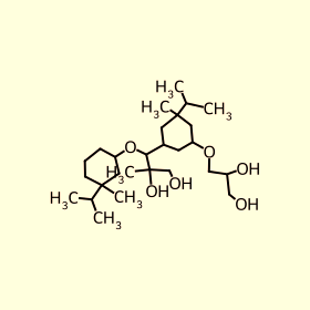 CC(C)C1(C)CCCC(OC(C2CC(OCC(O)CO)CC(C)(C(C)C)C2)C(C)(O)CO)C1